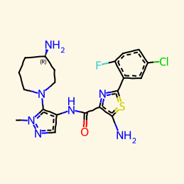 Cn1ncc(NC(=O)c2nc(-c3cc(Cl)ccc3F)sc2N)c1N1CCC[C@@H](N)CC1